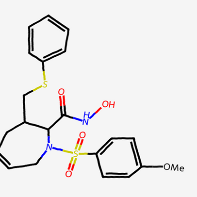 COc1ccc(S(=O)(=O)N2CC=CCC(CSc3ccccc3)C2C(=O)NO)cc1